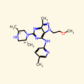 COCCn1nc(C)c2nc(N3C[C@H](C)NC[C@H]3C)nc(Nc3ccc(C)cn3)c21